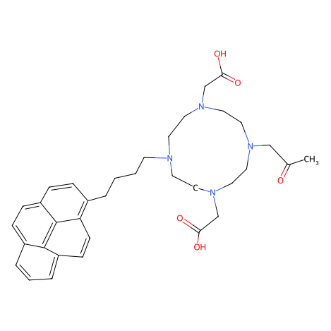 CC(=O)CN1CCN(CC(=O)O)CCN(CCCCc2ccc3ccc4cccc5ccc2c3c45)CCN(CC(=O)O)CC1